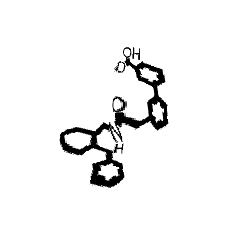 O=C(Cc1cccc(-c2cccc(C(=O)O)c2)c1)NCC1CCCCC1Cc1ccccc1